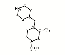 O=C(O)N1CCN(CC2CCNCC2)[C@H](C(F)(F)F)C1